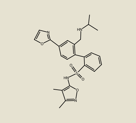 Cc1noc(NS(=O)(=O)c2ccccc2-c2ccc(-c3ncco3)cc2CNC(C)C)c1C